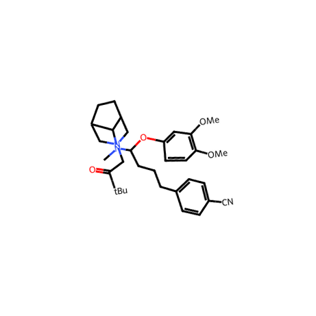 COc1ccc(OC(CCCc2ccc(C#N)cc2)N(C)C2C3CCC2CN(CC(=O)C(C)(C)C)C3)cc1OC